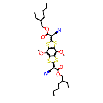 CCCCC(CC)COC(=O)C(C#N)=C1Sc2c(OC)c3c(c(OC)c2S1)SC(=C(C#N)C(=O)OCC(CC)CCCC)S3